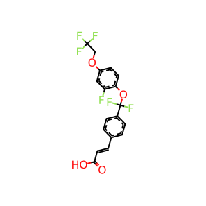 O=C(O)C=Cc1ccc(C(F)(F)Oc2ccc(OCC(F)(F)F)cc2F)cc1